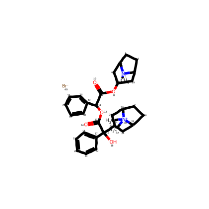 CN1C2CCC1CC(OC(=O)C(OC(=O)C(O)(c1ccccc1)C1CC3CCC(C1)[N+]3(C)C)c1ccccc1)C2.[Br-]